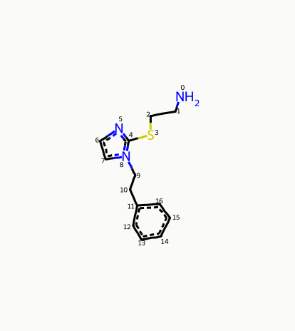 NCCSc1nccn1CCc1ccccc1